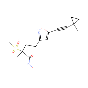 CC1(C#Cc2cc(CCC(C)(C(=O)NO)S(C)(=O)=O)no2)CC1